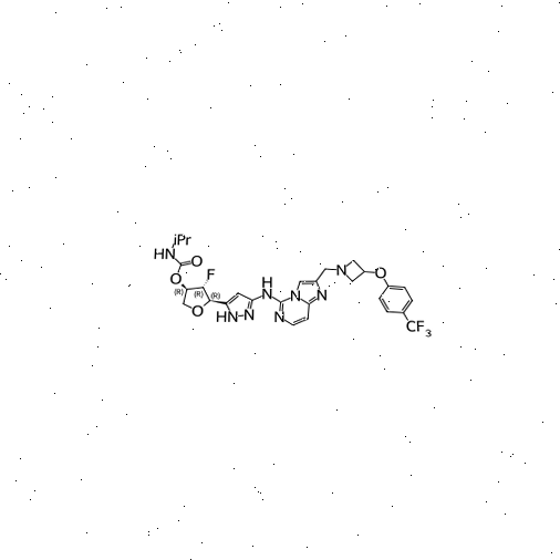 CC(C)NC(=O)O[C@@H]1CO[C@H](c2cc(Nc3nccc4nc(CN5CC(Oc6ccc(C(F)(F)F)cc6)C5)cn34)n[nH]2)[C@H]1F